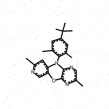 Cc1cc2c(cn1)Oc1nc(C)cnc1N2c1c(C)cc(C(C)(C)C)cc1C